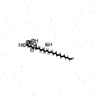 CCCCCCCCCCCCCCCCCCOC(=O)C(CC(=O)O)S(=O)(=O)O.[KH]